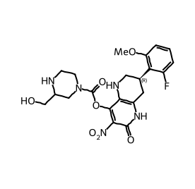 COc1cccc(F)c1[C@@H]1CNc2c([nH]c(=O)c([N+](=O)[O-])c2OC(=O)N2CCNC(CO)C2)C1